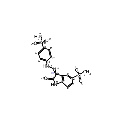 CS(=O)(=O)c1ccc2c(c1)/C(=N/Nc1ccc(S(N)(=O)=O)cc1)C(=O)N2